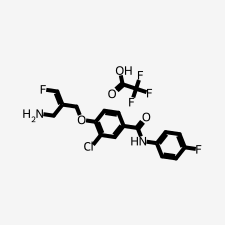 NC/C(=C\F)COc1ccc(C(=O)Nc2ccc(F)cc2)cc1Cl.O=C(O)C(F)(F)F